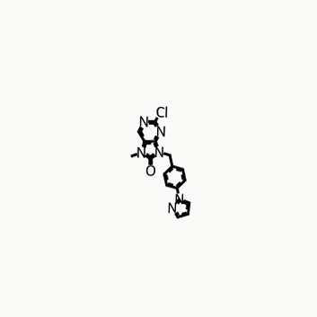 Cn1c(=O)n(Cc2ccc(-n3cccn3)cc2)c2nc(Cl)ncc21